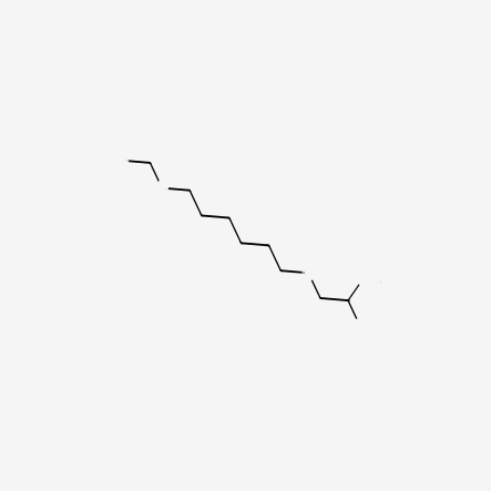 CC(C)COCCCCCCOCO